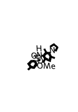 COc1cc(C)ccc1S(=O)(=O)Nc1c(C)cc(C)c(N2CCCC2)c1C